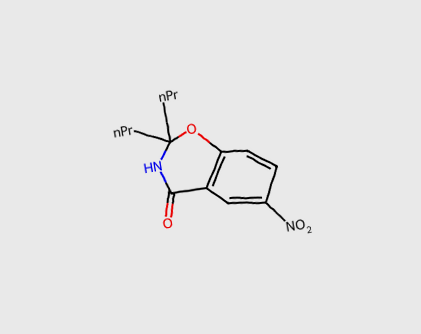 CCCC1(CCC)NC(=O)c2cc([N+](=O)[O-])ccc2O1